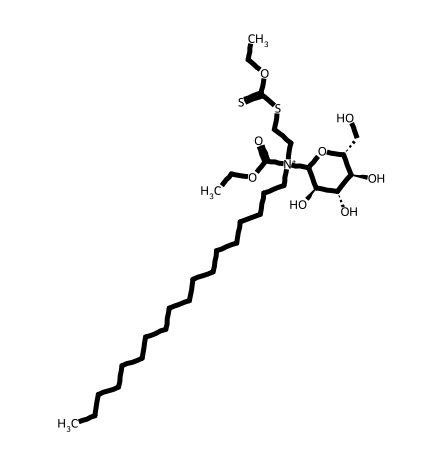 CCCCCCCCCCCCCCCCCC[N+](CCSC(=S)OCC)(C(=O)OCC)C1O[C@H](CO)[C@@H](O)[C@H](O)[C@H]1O